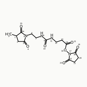 CC1CC(=O)N(CCNC(=O)NCCC(=O)ON2C(=O)CCC2=O)C1=O